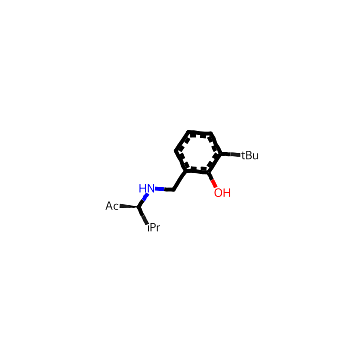 CC(=O)[C@@H](NCc1cccc(C(C)(C)C)c1O)C(C)C